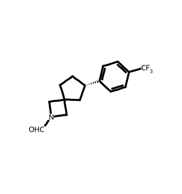 O=CN1CC2(CC[C@H](c3ccc(C(F)(F)F)cc3)C2)C1